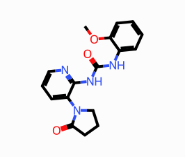 COc1ccccc1NC(=O)Nc1ncccc1N1CCCC1=O